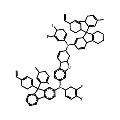 C=CC1=CC=C(C2(C3=CC(C)CC=C3C)c3ccccc3-c3ccc(N(c4ccc5c(c4)OC4CC(N(C6=CCC(F)C(F)=C6)C6=CC7C(C=C6)C6=C(CCCC6)C7(C6=CC(C)=CCC6C)C6C=CC(C=C)CC6)C=CC54)C4C=CC(F)=C(F)C4)cc32)CC1